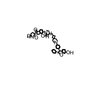 O=C1CC[C@H](N2Cc3c(ccc4c3OC[C@H]3CN(CC5CC6(CCN(c7ccc([C@H]8c9ccc(O)cc9OC[C@H]8c8ccccc8)cc7)CC6)C5)CCN43)C2=O)C(=O)N1